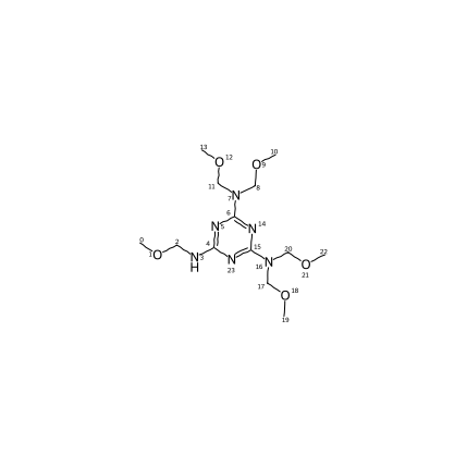 COCNc1nc(N(COC)COC)nc(N(COC)COC)n1